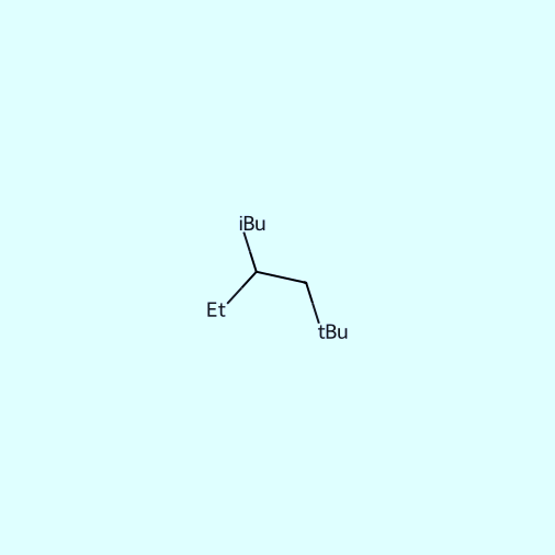 CCC(C)C(CC)CC(C)(C)C